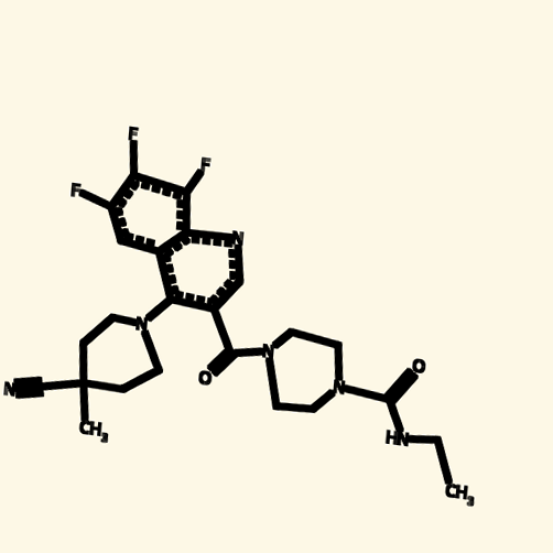 CCNC(=O)N1CCN(C(=O)c2cnc3c(F)c(F)c(F)cc3c2N2CCC(C)(C#N)CC2)CC1